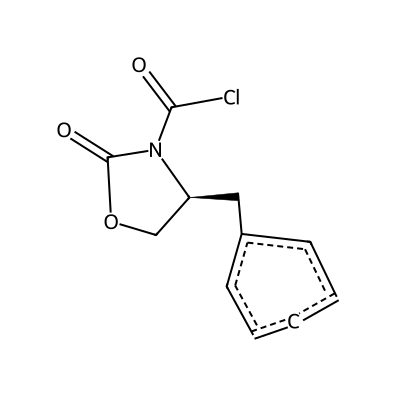 O=C(Cl)N1C(=O)OC[C@@H]1Cc1ccccc1